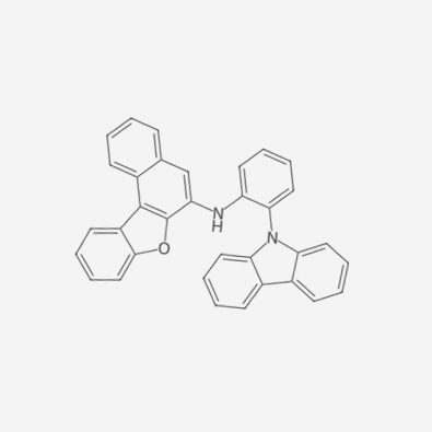 c1ccc(-n2c3ccccc3c3ccccc32)c(Nc2cc3ccccc3c3c2oc2ccccc23)c1